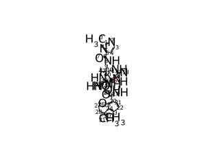 Cc1nccc(C(=O)NC[C@@H]2NC(=N)N3C[C@H](NC(=O)c4cccc5c4OCCC5(C)C)C(O)(O)[C@@]34NC(=N)N[C@@H]24)n1